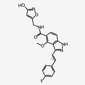 COc1c(C(=O)NCc2cc(O)no2)ccc2[nH]nc(/C=C/c3ccc(F)cc3)c12